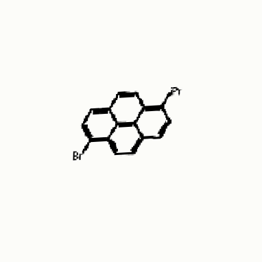 CC(C)c1ccc2ccc3c(Br)ccc4ccc1c2c43